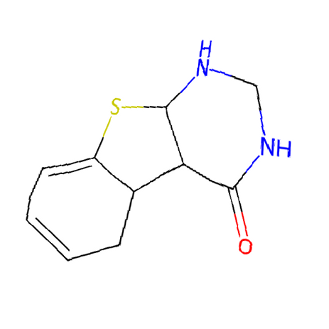 O=C1NCNC2SC3=CC=CCC3C12